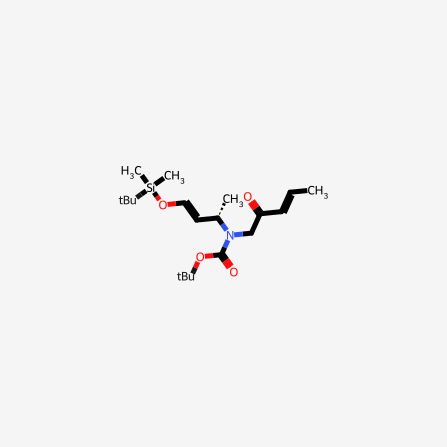 CC=CC(=O)CN(C(=O)OC(C)(C)C)[C@@H](C)C=CO[Si](C)(C)C(C)(C)C